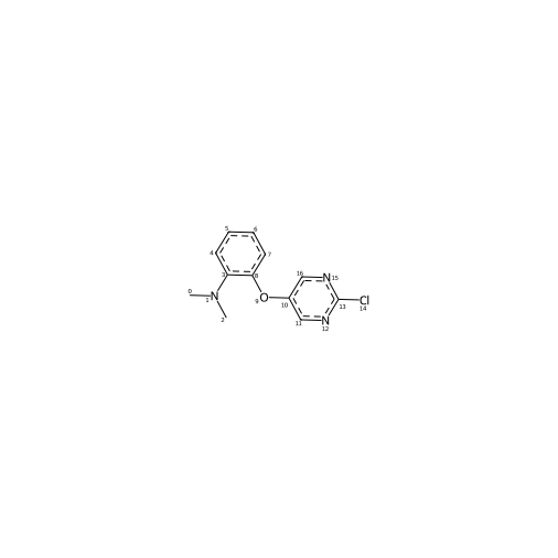 CN(C)c1ccccc1Oc1cnc(Cl)nc1